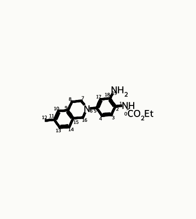 CCOC(=O)Nc1ccc(N2CCc3cc(C)ccc3C2)cc1N